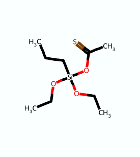 CCC[Si](OCC)(OCC)OC(C)=S